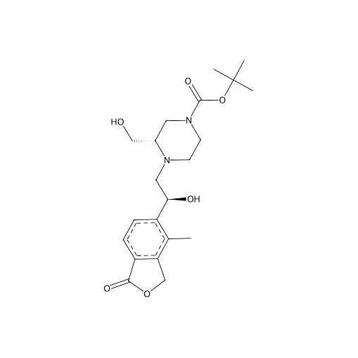 Cc1c([C@H](O)CN2CCN(C(=O)OC(C)(C)C)C[C@H]2CO)ccc2c1COC2=O